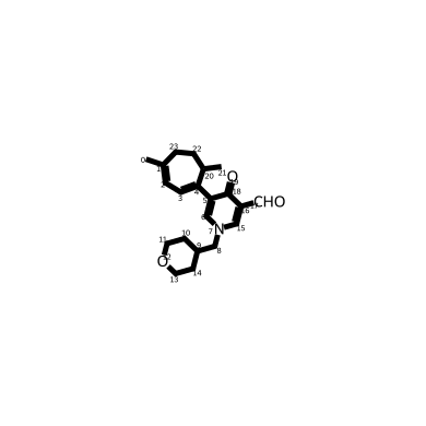 CC1=CC=C(c2cn(CC3CCOCC3)cc(C=O)c2=O)C(C)CC1